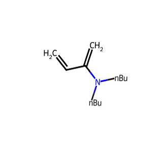 C=CC(=C)N(CCCC)CCCC